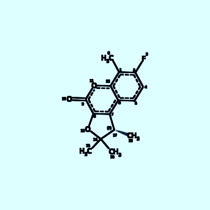 Cc1c(F)ccc2c3c(c(=O)oc12)OC(C)(C)[C@H]3C